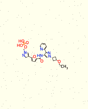 CCO[C@H]1C[C@H](n2cc(NC(=O)c3ccc(-c4cnn(COP(=O)(O)O)c4)o3)c(-c3ccccn3)n2)C1